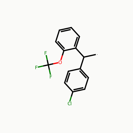 [CH2]C(c1ccc(Cl)cc1)c1ccccc1OC(F)(F)F